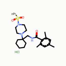 CCCS(=O)(=O)N1CCN(C2(CNC(=O)c3c(C)cc(C)cc3C)CCCCC2)CC1.Cl